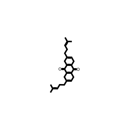 CC(C)=CCCC1=CCC2=C(C1)C(=O)C1=C(CC=C(CCC=C(C)C)C1)C2=O